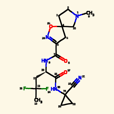 CN1CCC2(CC(C(=O)N[C@@H](CC(C)(F)F)C(=O)NC3(C#N)CC3)=NO2)C1